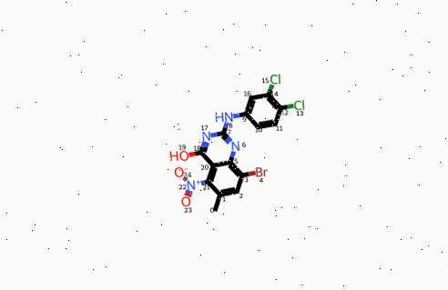 Cc1cc(Br)c2nc(Nc3ccc(Cl)c(Cl)c3)nc(O)c2c1[N+](=O)[O-]